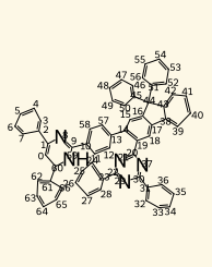 C1=C(c2ccccc2)N=C(c2ccc(-c3cc4c(cc3-c3nc(-c5ccccc5)nc(-c5ccccc5)n3)-c3ccccc3C4(c3ccccc3)c3ccccc3)cc2)NC1c1ccccc1